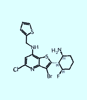 N[C@H]1CCC[C@@H](F)[C@@H]1c1sc2c(NCc3cccs3)cc(Cl)nc2c1Br